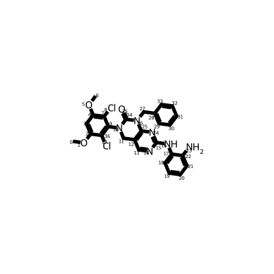 COc1cc(OC)c(Cl)c(N2Cc3cnc(Nc4ccccc4N)nc3N(Cc3ccccc3)C2=O)c1Cl